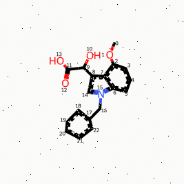 COc1cccc2c1c(C(O)C(=O)O)cn2Cc1ccccc1